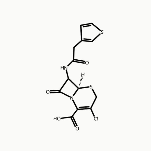 O=C(Cc1ccsc1)NC1C(=O)N2C(C(=O)O)=C(Cl)CS[C@H]12